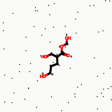 O=C(OCO)C(CO)CCCO